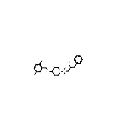 Cc1ccc(C)c(COC2CCN(S(=O)(=O)CC(Cc3ccccc3)NC(=O)O)CC2)c1